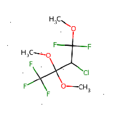 COC(F)(F)C(Cl)C(OC)(OC)C(F)(F)F